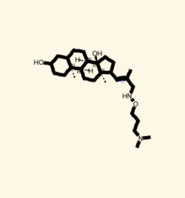 C/C(=C\C1CC[C@@]2(O)[C@@H]3CCC4CC(O)CC[C@]4(C)[C@@H]3CC[C@]12C)CNOCCCN(C)C